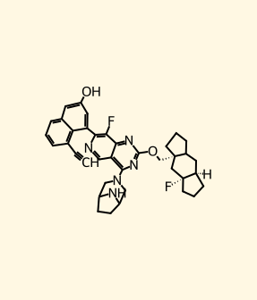 C#Cc1cccc2cc(O)cc(-c3ncc4c(N5CC6CCC(C5)N6)nc(OC[C@]56CCCC5C[C@H]5CCC[C@@]5(F)C6)nc4c3F)c12